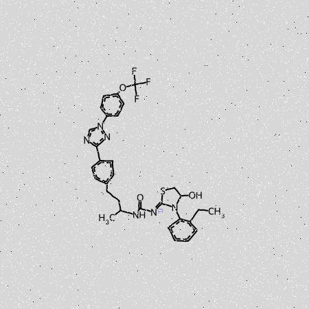 CCc1ccccc1N1/C(=N/C(=O)NC(C)CCc2ccc(-c3ncn(-c4ccc(OC(F)(F)F)cc4)n3)cc2)SCC1O